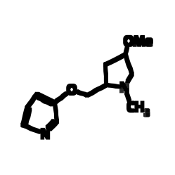 COC1CC(COc2cccnc2)N(C)C1